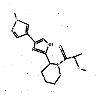 CSC(C)C(=O)N1CCCCC1c1nc(-c2cnn(C)c2)c[nH]1